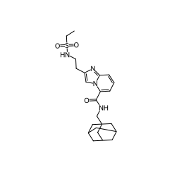 CCS(=O)(=O)NCCc1cn2c(C(=O)NCC34CC5CC(CC(C5)C3)C4)cccc2n1